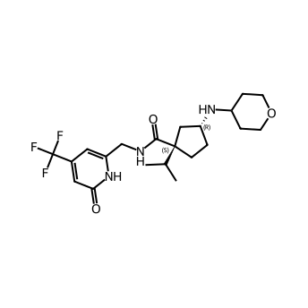 CC(C)[C@]1(C(=O)NCc2cc(C(F)(F)F)cc(=O)[nH]2)CC[C@@H](NC2CCOCC2)C1